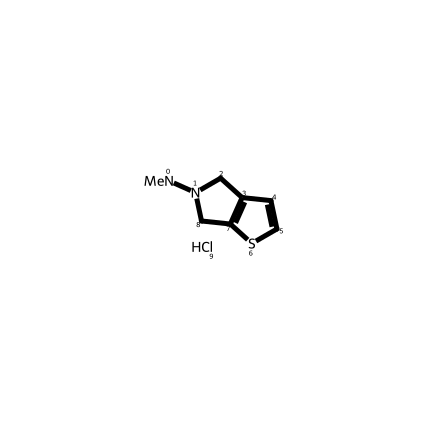 CNN1Cc2ccsc2C1.Cl